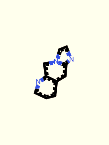 c1cnc2cn3ccnc3cc2c1